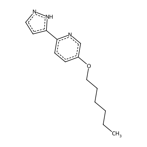 CCCCCCOc1ccc(-c2ccn[nH]2)nc1